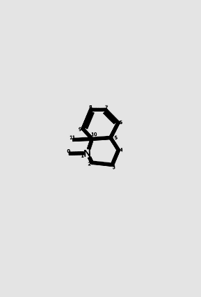 CN1CCCC2C=CC=CC21C